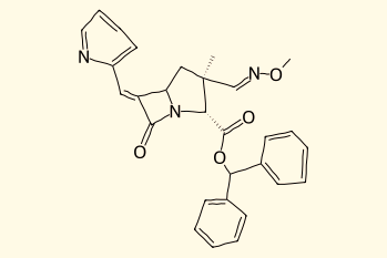 CO/N=C/[C@]1(C)CC2/C(=C\c3ccccn3)C(=O)N2[C@H]1C(=O)OC(c1ccccc1)c1ccccc1